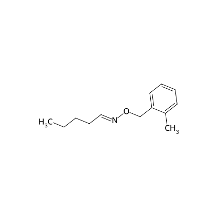 CCCCC=NOCc1ccccc1C